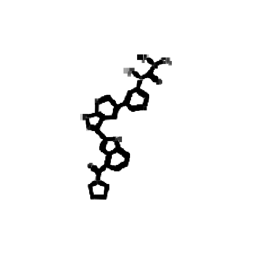 CN(C)C(=O)N(N)c1cncc(-c2cnc3[nH]nc(-c4cc5c(C(=O)N6CCCC6)cccc5[nH]4)c3c2)c1